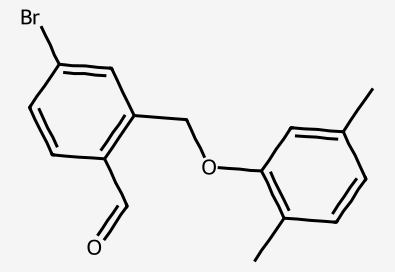 Cc1ccc(C)c(OCc2cc(Br)ccc2C=O)c1